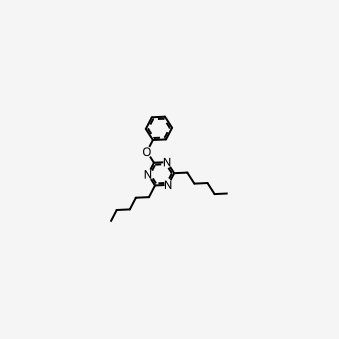 CCCCCc1nc(CCCCC)nc(Oc2ccccc2)n1